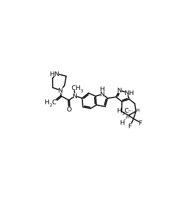 C=C(C(=O)N(C)c1ccc2cc(-c3n[nH]c4c3C[C@@H]3C(F)(F)[C@]3(C)C4)[nH]c2c1)N1CCNCC1